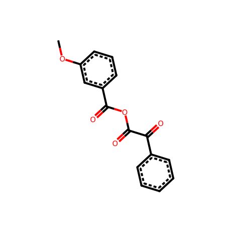 COc1cccc(C(=O)OC(=O)C(=O)c2ccccc2)c1